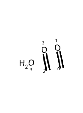 C=O.C=O.O